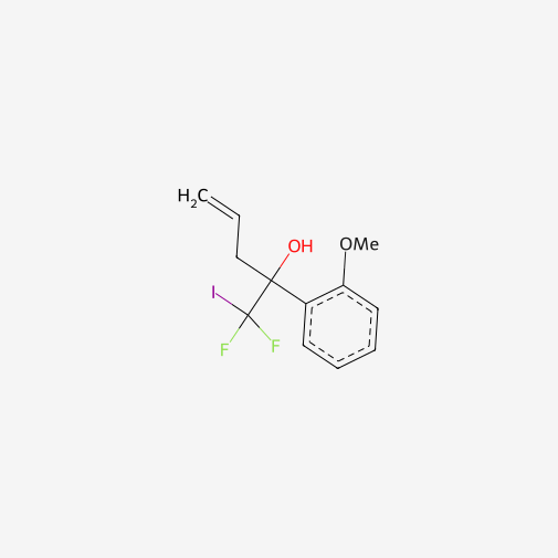 C=CCC(O)(c1ccccc1OC)C(F)(F)I